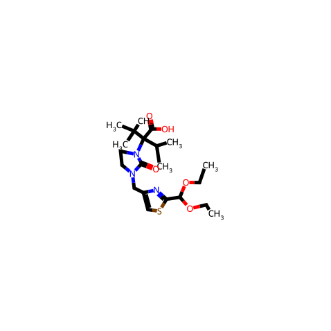 CCOC(OCC)c1nc(CN2CCN(C(C(=O)O)(C(C)C)C(C)(C)C)C2=O)cs1